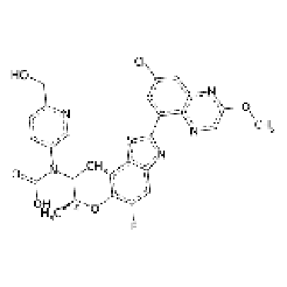 COc1cnc2c(-c3nc4cc(F)c(O[C@@H](C)C(C)N(C(=O)O)c5ccc(CO)nc5)cc4s3)cc(Cl)cc2n1